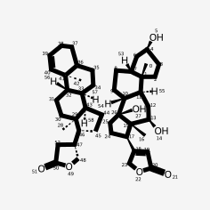 C[C@]12CC[C@H](O)C[C@H]1CC[C@@H]1[C@@H]2C[C@@H](O)[C@]2(C)[C@@H](C3=CC(=O)OC3)CC[C@]12O.C[C@]12CC[C@H]3[C@@H](CCC4CCC=C[C@@]43C)[C@H]1CC[C@@H]2[C@@H]1COC(=O)C1